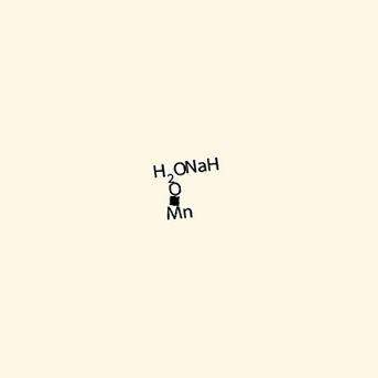 O.[NaH].[O]=[Mn]